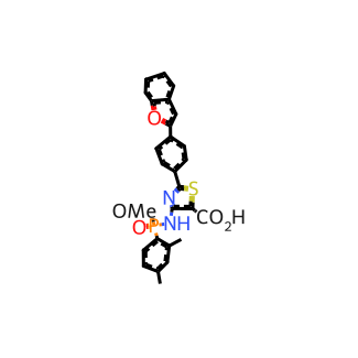 COP(=O)(Nc1nc(-c2ccc(-c3cc4ccccc4o3)cc2)sc1C(=O)O)c1ccc(C)cc1C